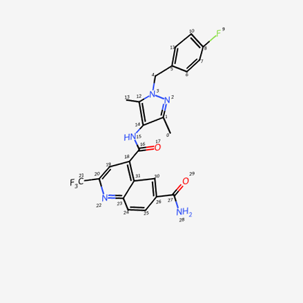 Cc1nn(Cc2ccc(F)cc2)c(C)c1NC(=O)c1cc(C(F)(F)F)nc2ccc(C(N)=O)cc12